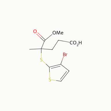 COC(=O)C(C)(CCC(=O)O)Sc1sccc1Br